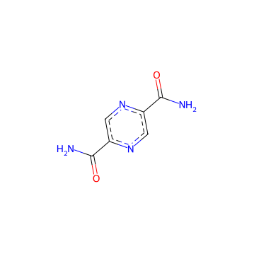 NC(=O)c1cnc(C(N)=O)cn1